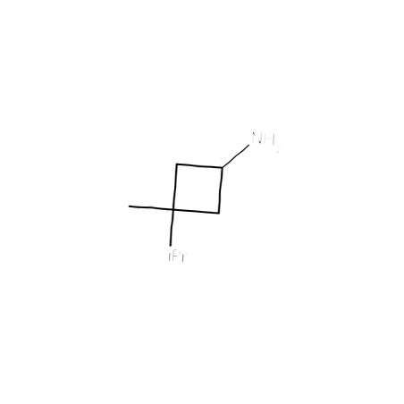 CC(C)C1(C)CC(N)C1